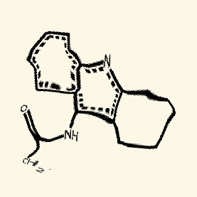 [CH2]C(=O)Nc1c2c(nc3ccccc13)CCCC2